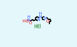 Cc1ccc(CN2CC[C@@H](Nc3ccc(C=CC(=O)NO)cn3)C2)o1.Cl.Cl